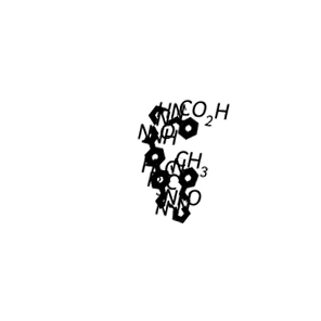 CN(C)c1cccc(CC(=O)N2CCC[C@H]2c2ncc(-c3ccc(-c4ccc(-c5cnc([C@@H]6CCCN6C(=O)[C@H](NC(=O)O)c6ccccc6)[nH]5)cc4)cc3)[nH]2)c1C(F)(F)F